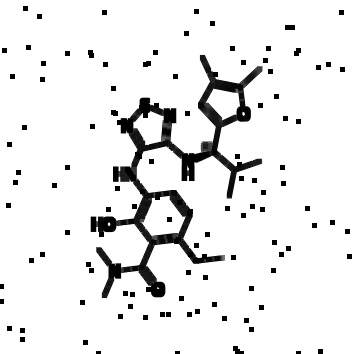 CCc1ccc(Nc2nsnc2N[C@@H](c2cc(C)c(C)o2)C(C)C)c(O)c1C(=O)N(C)C